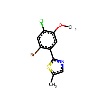 COc1cc(-c2ncc(C)s2)c(Br)cc1Cl